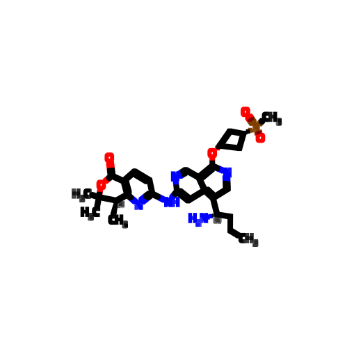 CCC[C@H](N)c1cnc(O[C@H]2C[C@@H](S(C)(=O)=O)C2)c2cnc(Nc3ccc4c(n3)[C@@H](C)C(C)(C)OC4=O)cc12